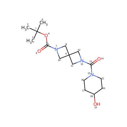 CC(C)(C)OC(=O)N1CC2(C1)CN(C(=O)N1CCC(O)CC1)C2